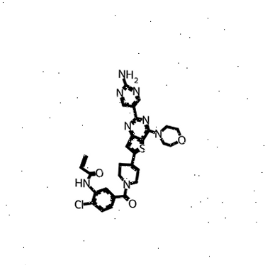 C=CC(=O)Nc1cc(C(=O)N2CC=C(c3cc4nc(-c5cnc(N)nc5)nc(N5CCOCC5)c4s3)CC2)ccc1Cl